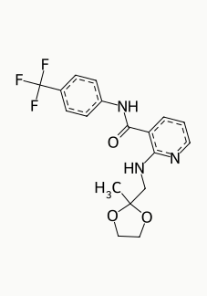 CC1(CNc2ncccc2C(=O)Nc2ccc(C(F)(F)F)cc2)OCCO1